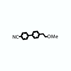 COCCc1ccc(-c2ccc(C#N)cc2)cc1